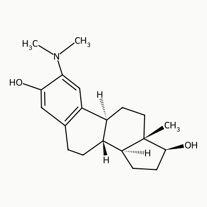 CN(C)c1cc2c(cc1O)CC[C@@H]1[C@@H]2CC[C@]2(C)[C@@H](O)CC[C@@H]12